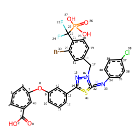 O=C(O)c1cccc(Oc2cccc(-c3nn(Cc4ccc(C(F)(F)P(=O)(O)O)c(Br)c4)/c(=N\c4ccc(Cl)cc4)s3)c2)c1